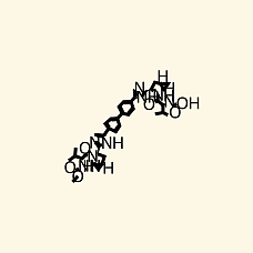 COC(=O)N[C@H](C(=O)N1[C@@H](c2ncc(-c3ccc(-c4ccc(-c5cnc([C@H]6C[C@H]7C[C@H]7N6C(=O)[C@@H](NC(=O)O)C(C)C)[nH]5)cc4)cc3)[nH]2)C[C@H]2C[C@H]21)C(C)C